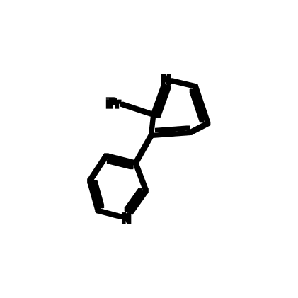 CC(C)c1ncccc1-c1cccnc1